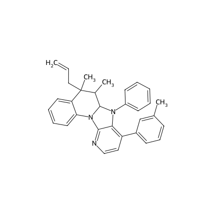 C=CCC1(C)c2ccccc2N2c3nccc(-c4cccc(C)c4)c3N(c3ccccc3)C2C1C